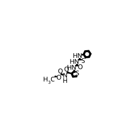 CCOC(=O)NC(=O)c1ccsc1NC(=O)NC1Nc2ccccc2S1